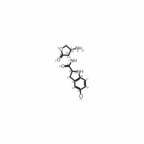 N[C@@H]1COC(=O)[C@H]1NC(=O)C1Cc2cc(Cl)ccc2N1